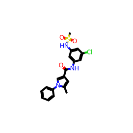 Cc1cc(C(=O)Nc2cc(Cl)cc(NS(C)(=O)=O)c2)cn1-c1ccccc1